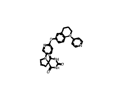 O=C1NC(=O)C2(CCCN2c2ccc(Oc3ccc4c(c3)CCCN4c3ccncc3)nc2)C(=O)N1